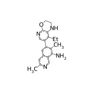 CCc1c(-c2cc3cc(C)ncc3c(N)c2C)cnc2c1NCCO2